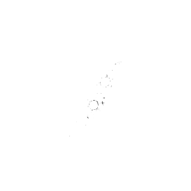 CCCCCCOc1ccc(CC[C@H]2CC[C@H](CCCCC)CC2)c(F)c1